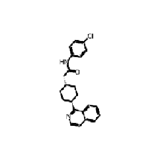 O=C(C[C@H]1CC[C@H](c2nccc3ccccc32)CC1)Nc1ccc(Cl)cc1